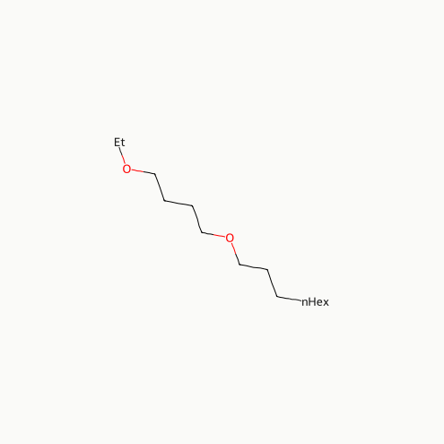 CCCC[CH]CCCCOCCCCOCC